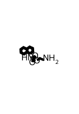 NCCOS(=O)(=O)Nc1cccc2ccccc12